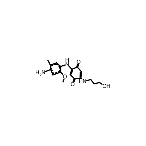 COc1cc(N)c(C)cc1NC1=CC(=O)C(NCCCO)=CC1=O